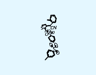 Cc1ccc(S(=O)(=O)Oc2ccc(S(=O)(=O)ON=C3SC=C/C3=C(/C#N)c3ccccc3C)cc2)cc1